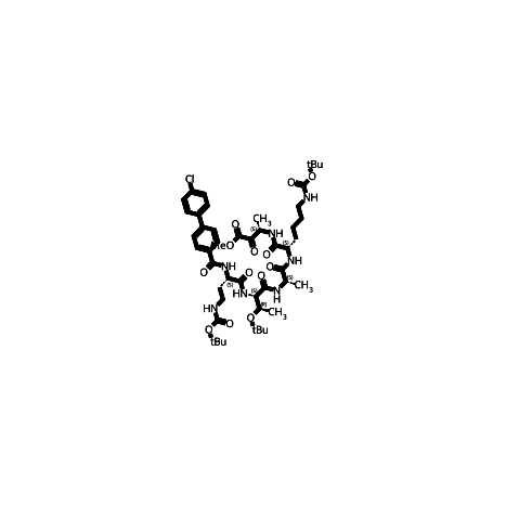 COC(=O)C(=O)[C@H](C)NC(=O)[C@H](CCCCNC(=O)OC(C)(C)C)NC(=O)[C@H](C)NC(=O)[C@@H](NC(=O)[C@H](CCNC(=O)OC(C)(C)C)NC(=O)c1ccc(-c2ccc(Cl)cc2)cc1)[C@@H](C)OC(C)(C)C